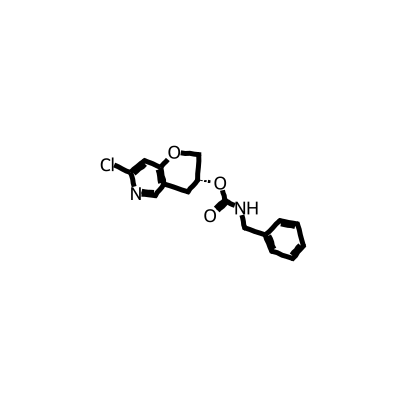 O=C(NCc1ccccc1)O[C@H]1COc2cc(Cl)ncc2C1